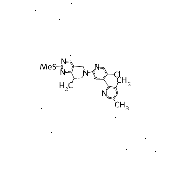 CSc1ncc2c(n1)C(C)CN(c1cc(-c3ncc(C)cc3C)c(Cl)cn1)C2